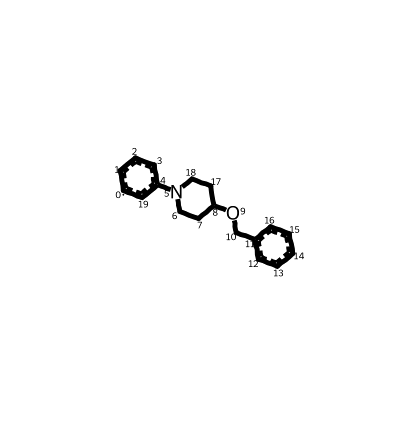 [c]1cccc(N2CCC(OCc3ccccc3)CC2)c1